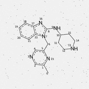 Cc1cncc(Cn2c(NC3CCNCC3)nc3ccccc32)n1